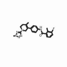 CC1=C(c2ccc(NC(=O)c3cccc(F)c3C)cc2)CN(c2nnn(C)n2)CC1